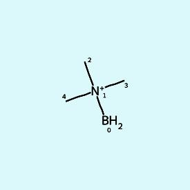 B[N+](C)(C)C